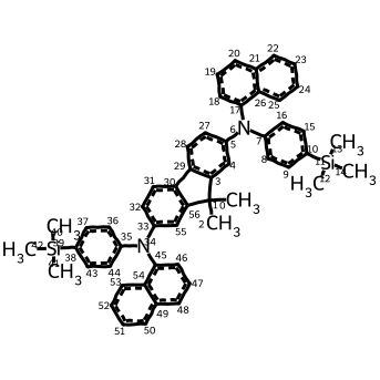 CC1(C)c2cc(N(c3ccc([Si](C)(C)C)cc3)c3cccc4ccccc34)ccc2-c2ccc(N(c3ccc([Si](C)(C)C)cc3)c3cccc4ccccc34)cc21